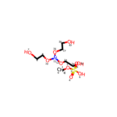 C.COS(=O)(=O)O.OCCON(OCCO)OCCO